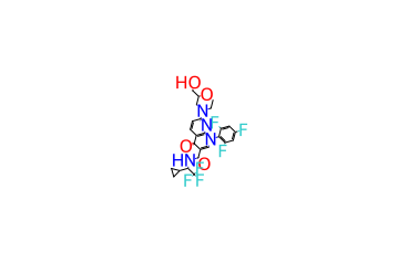 O=C(NC(C1CC1)C(F)(F)F)c1cn(-c2c(F)cc(F)cc2F)c2nc(N3CCOC(CO)C3)ccc2c1=O